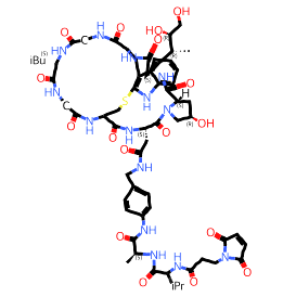 CC[C@H](C)C1NC(=O)CNC(=O)C2Cc3c([nH]c4ccccc34)SCC(NC(=O)CNC1=O)C(=O)N[C@@H](CC(=O)NCc1ccc(NC(=O)[C@H](C)NC(=O)C(NC(=O)CCN3C(=O)C=CC3=O)C(C)C)cc1)C(=O)N1C[C@H](O)C[C@H]1C(=O)N[C@@H]([C@@H](C)[C@@H](O)CO)C(=O)N2